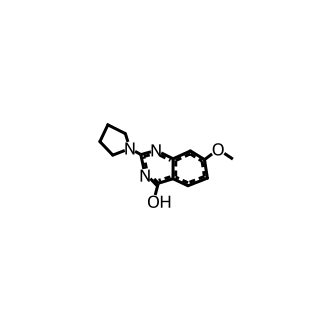 COc1ccc2c(O)nc(N3CCCC3)nc2c1